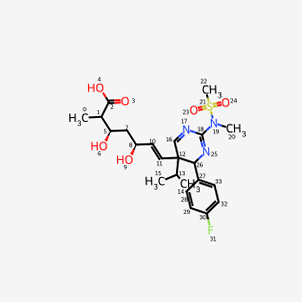 CC(C(=O)O)[C@H](O)C[C@H](O)C=CC1(C(C)C)C=NC(N(C)S(C)(=O)=O)=NC1c1ccc(F)cc1